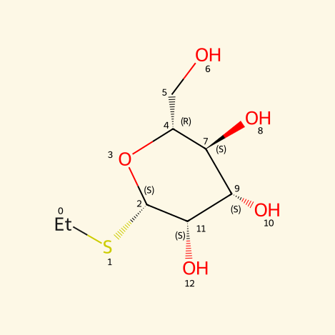 CCS[C@@H]1O[C@H](CO)[C@@H](O)[C@H](O)[C@@H]1O